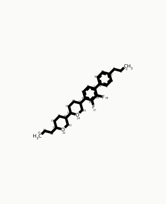 CCCc1ccc(-c2ccc(C3CCC(C4CCC(CCC)OC4)OC3)c(F)c2F)cc1